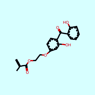 C=C(C)C(=O)OCCOc1ccc(C(=O)c2ccccc2O)c(O)c1